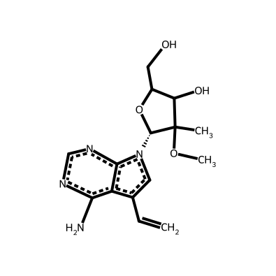 C=Cc1cn([C@@H]2OC(CO)C(O)C2(C)OC)c2ncnc(N)c12